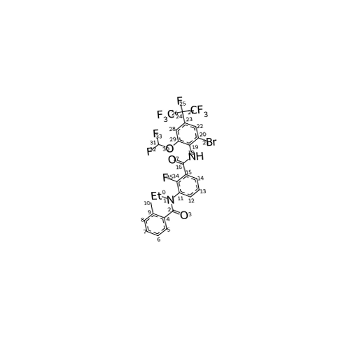 CCN(C(=O)c1ccccc1C)c1cccc(C(=O)Nc2c(Br)cc(C(F)(C(F)(F)F)C(F)(F)F)cc2OC(F)F)c1F